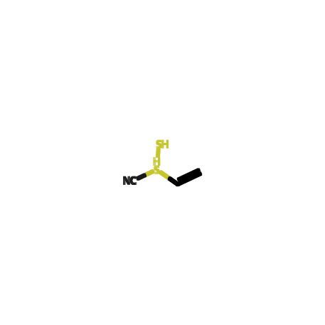 C=C[SH](S)C#N